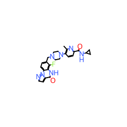 Cc1nc(C(=O)NC2CC2)ccc1N1CCN(Cc2ccc3c([nH]c(=O)c4ccnn43)c2F)CC1